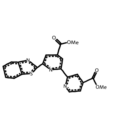 COC(=O)c1ccnc(-c2cc(C(=O)OC)cc(-c3nc4ccccc4s3)n2)c1